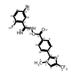 Cn1cc(C(F)(F)F)nc1-c1ccc(C(=O)ONC(=N)c2cc(Br)ccc2F)cc1